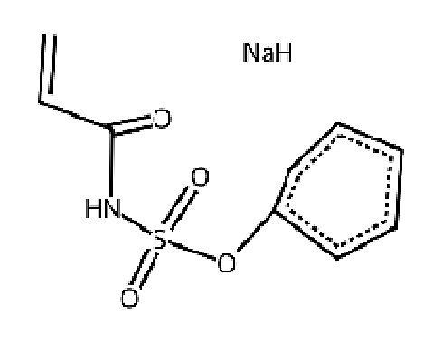 C=CC(=O)NS(=O)(=O)Oc1ccccc1.[NaH]